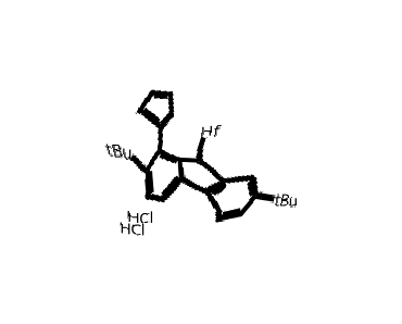 CC(C)(C)c1ccc2c(c1)[CH]([Hf])c1c-2ccc(C(C)(C)C)c1C1=CC=CC1.Cl.Cl